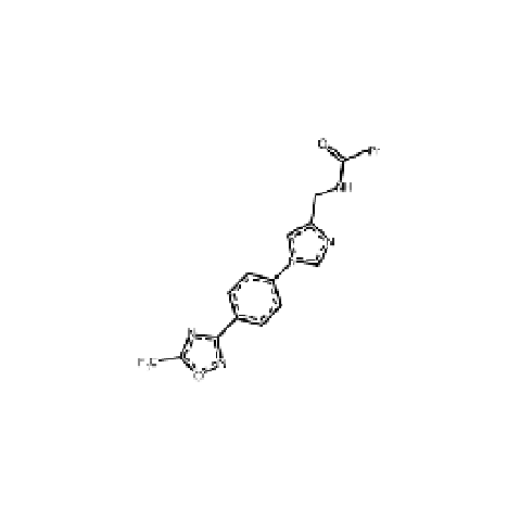 CC(C)C(=O)NCc1cn(-c2ccc(-c3noc(C(F)(F)F)n3)cc2)cn1